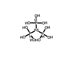 O[PH](O)(O)[Pd]([PH](O)(O)O)[PH](O)(O)O